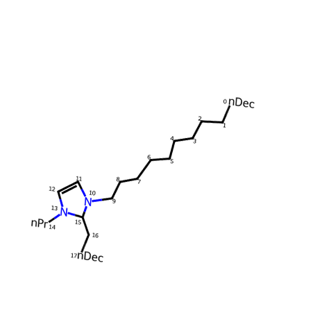 CCCCCCCCCCCCCCCCCCCN1C=CN(CCC)C1CCCCCCCCCCC